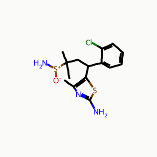 Cc1nc(N)sc1C(CC(C)(C)[S+](N)[O-])c1ccccc1Cl